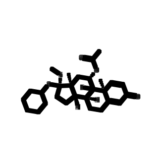 CS[C@@]1(SC2CCCCC2)CC[C@H]2[C@@H]3CCC4=CC(=O)C=C[C@]4(C)C3(F)[C@@H](OC(C)=O)C[C@@]21C